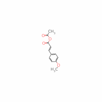 COc1ccc(C=CC(=O)OC(C)=O)cc1